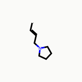 [CH2]C=CCN1CCCC1